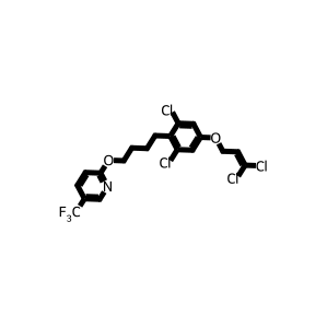 FC(F)(F)c1ccc(OCCCCc2c(Cl)cc(OCC=C(Cl)Cl)cc2Cl)nc1